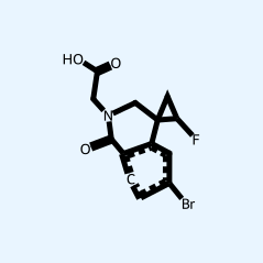 O=C(O)CN1CC2(CC2F)c2cc(Br)ccc2C1=O